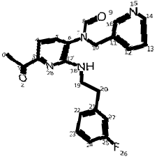 CC(=O)c1ccc(N(C=O)Cc2cccnc2)c(NCCc2cccc(F)c2)n1